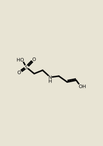 O=S(=O)(O)CCNCC=CO